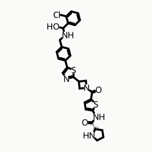 O=C(Nc1ccc(C(=O)N2CC(c3ncc(-c4ccc(CNC(O)c5ccccc5Cl)cc4)s3)C2)s1)[C@@H]1CCCN1